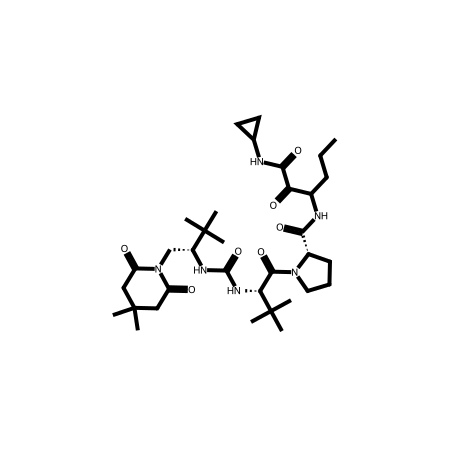 CCCC(NC(=O)[C@@H]1CCCN1C(=O)[C@@H](NC(=O)N[C@H](CN1C(=O)CC(C)(C)CC1=O)C(C)(C)C)C(C)(C)C)C(=O)C(=O)NC1CC1